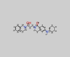 CN(c1ccc2c(c1)CCN(CCC(O)N1CCc3ccccc3C1)C2=O)C1CCCCC1